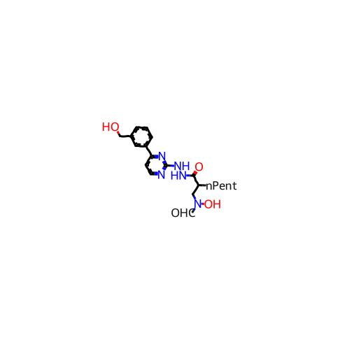 CCCCCC(CN(O)C=O)C(=O)NNc1nccc(-c2cccc(CO)c2)n1